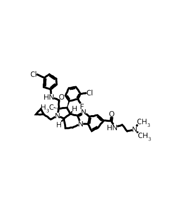 CN(C)CCNC(=O)c1ccc2c(c1)nc1n2CC[C@H]2[C@@H]1[C@H](c1cccc(Cl)c1F)[C@](C)(C(=O)Nc1cccc(Cl)c1)N2CC1CC1